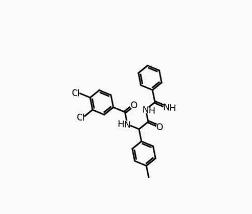 Cc1ccc(C(NC(=O)c2ccc(Cl)c(Cl)c2)C(=O)NC(=N)c2ccccc2)cc1